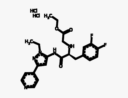 CCOC(=O)CN[C@@H](Cc1ccc(F)c(F)c1)C(=O)Nc1cc(-c2ccncc2)nn1CC.Cl.Cl